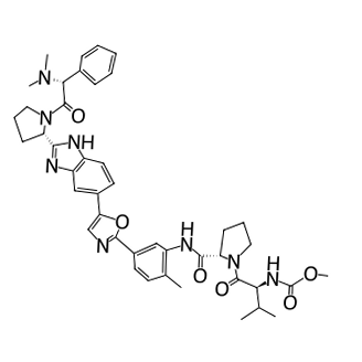 COC(=O)N[C@H](C(=O)N1CCC[C@H]1C(=O)Nc1cc(-c2ncc(-c3ccc4[nH]c([C@@H]5CCCN5C(=O)[C@@H](c5ccccc5)N(C)C)nc4c3)o2)ccc1C)C(C)C